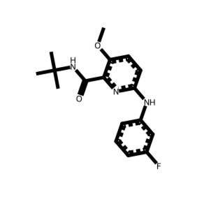 COc1ccc(Nc2cccc(F)c2)nc1C(=O)NC(C)(C)C